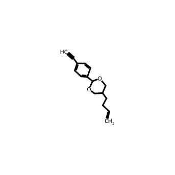 C#Cc1ccc(C2OCC(CCC=C)CO2)cc1